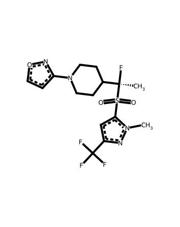 Cn1nc(C(F)(F)F)cc1S(=O)(=O)[C@](C)(F)C1CCN(c2ccon2)CC1